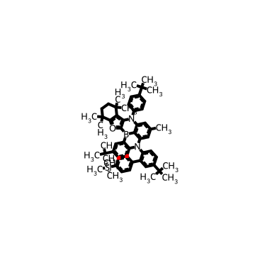 Cc1cc2c3c(c1)N(c1ccc(C(C)(C)C)cc1)c1c(oc4c1C(C)(C)CCC4(C)C)B3c1cc(C(C)(C)C)ccc1N2c1ccc(C(C)(C)C)cc1-c1ccc([Si](C)(C)C)cc1